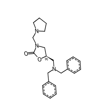 O=C1O[C@H](CN(Cc2ccccc2)Cc2ccccc2)CN1CN1CCCC1